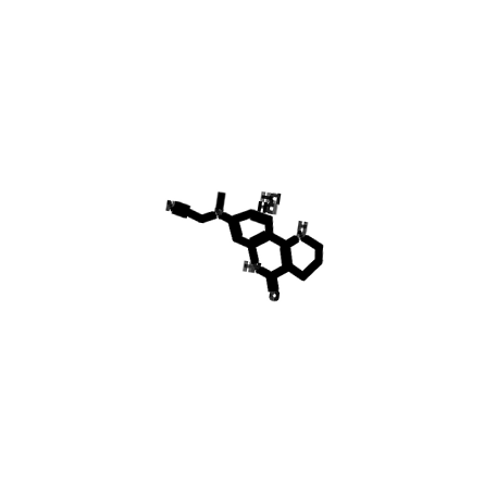 CN(CC#N)c1ccc2c3c(c(=O)[nH]c2c1)CCCN3.Cl.Cl